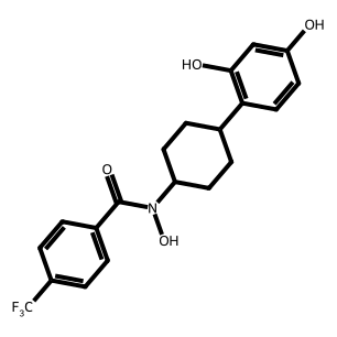 O=C(c1ccc(C(F)(F)F)cc1)N(O)C1CCC(c2ccc(O)cc2O)CC1